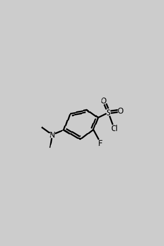 CN(C)c1ccc(S(=O)(=O)Cl)c(F)c1